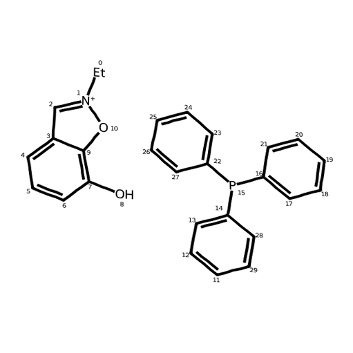 CC[n+]1cc2cccc(O)c2o1.c1ccc(P(c2ccccc2)c2ccccc2)cc1